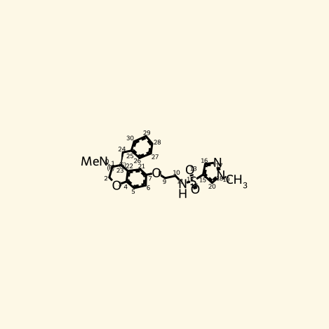 CN[C@H]1COc2ccc(OCCNS(=O)(=O)c3cnn(C)c3)cc2[C@@H]1Cc1ccccc1